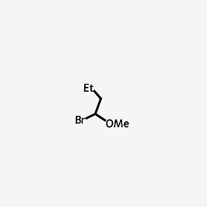 CCCC(Br)OC